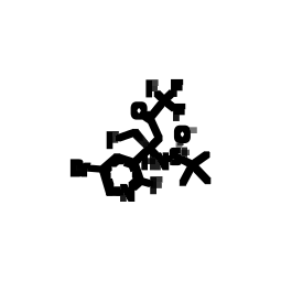 CC(C)(C)[S@@+]([O-])N[C@@](CF)(CC(=O)C(F)(F)F)c1cc(Br)cnc1F